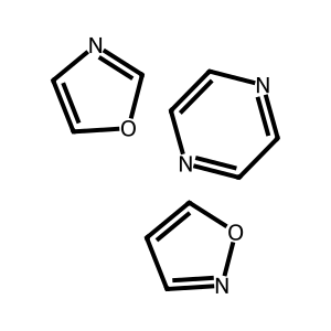 c1cnccn1.c1cnoc1.c1cocn1